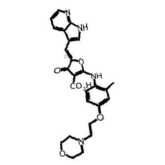 Cc1cc(OCCN2CCOCC2)ccc1NC1=C(C(=O)O)C(=O)/C(=C/c2c[nH]c3ncccc23)O1